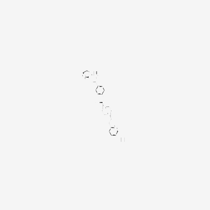 Cc1ccc(CCN2CCN(C(=O)Oc3ccc(C(C)Sc4ncc[nH]4)cc3)CC2)nc1